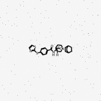 C1CC2CCC1CC2.O=C(N[C@H]1CN2CCC1CC2)c1ccc(Sc2nccs2)cc1